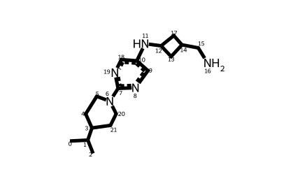 CC(C)C1CCN(c2ncc(NC3CC(CN)C3)cn2)CC1